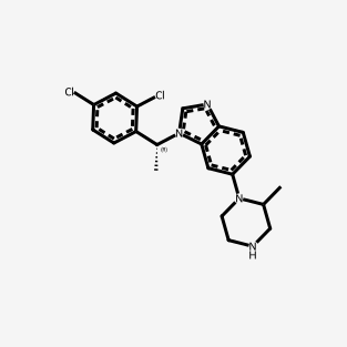 CC1CNCCN1c1ccc2ncn([C@H](C)c3ccc(Cl)cc3Cl)c2c1